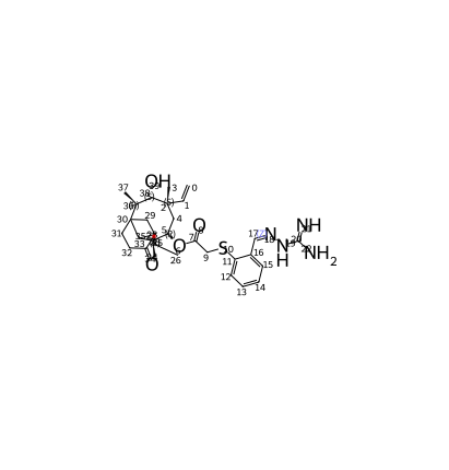 C=C[C@]1(C)C[C@@H](OC(=O)CSc2ccccc2/C=N\NC(=N)N)[C@]2(C)C(C)CC34CC(CCC3=O)(C42)[C@@H](C)[C@@H]1O